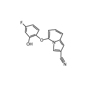 N#Cc1cc2cccc(Oc3ccc(F)cc3O)n2c1